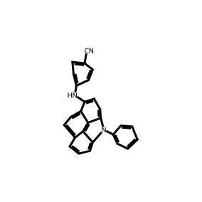 N#Cc1ccc(Nc2ccc3c4c2ccc2cccc(c24)n3-c2ccccc2)cc1